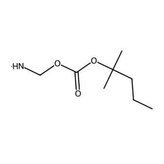 CCCC(C)(C)OC(=O)OC[NH]